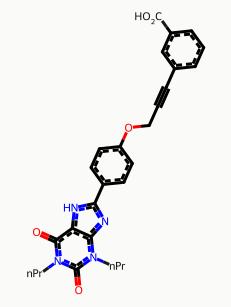 CCCn1c(=O)c2[nH]c(-c3ccc(OCC#Cc4cccc(C(=O)O)c4)cc3)nc2n(CCC)c1=O